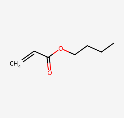 C.C=CC(=O)OCCCC